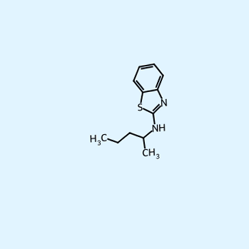 CCCC(C)Nc1nc2ccccc2s1